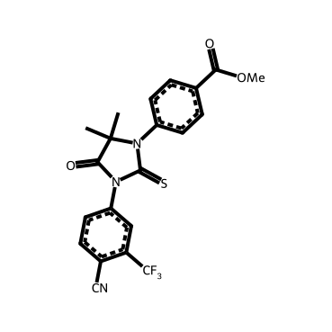 COC(=O)c1ccc(N2C(=S)N(c3ccc(C#N)c(C(F)(F)F)c3)C(=O)C2(C)C)cc1